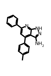 Cc1ccc(-c2cc(-c3ccccc3)nc3[nH]nc(N)c23)cc1